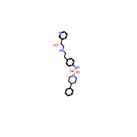 O=S(=O)(Nc1ccc(CCNC[C@H](O)c2cccnc2)cc1)N1CCC(c2ccccc2)CC1